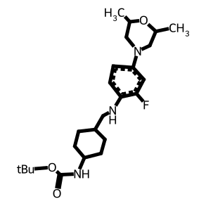 CC1CN(c2ccc(NCC3CCC(NC(=O)OC(C)(C)C)CC3)c(F)c2)CC(C)O1